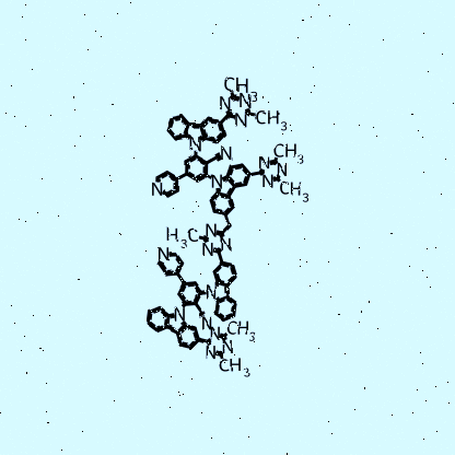 Cc1nc(C)nc(-c2ccc3c(c2)c2ccccc2n3-c2cc(-c3ccncc3)cc(-n3c4ccc(Cc5nc(C)nc(-c6ccc7c8ccccc8n(-c8cc(-c9ccncc9)cc(-n9c%10ccccc%10c%10ccc(-c%11nc(C)nc(C)n%11)cc%109)c8C#N)c7c6)n5)cc4c4cc(-c5nc(C)nc(C)n5)ccc43)c2C#N)n1